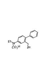 CCN(C(=O)O)c1ccc(-c2ccccc2)c(CC(C)C)c1